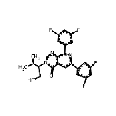 CC(C)C(CO)n1cnc2c(-c3cc(F)cc(F)c3)nc(-c3cc(F)cc(F)c3)cc2c1=O